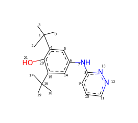 CC(C)(C)c1cc(Nc2cccnn2)cc(C(C)(C)C)c1O